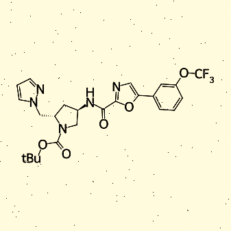 CC(C)(C)OC(=O)N1C[C@H](NC(=O)c2ncc(-c3cccc(OC(F)(F)F)c3)o2)C[C@H]1Cn1cccn1